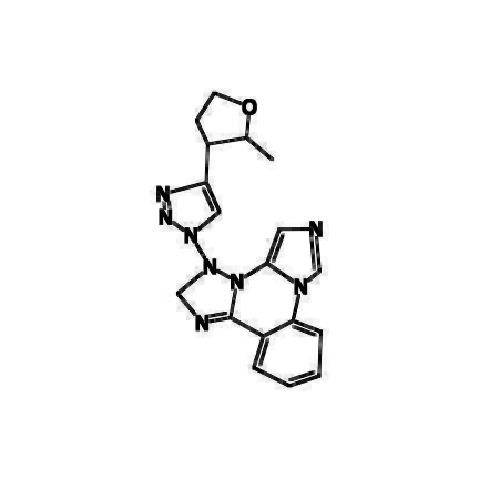 CC1OCCC1c1cn(N2CN=C3c4ccccc4-n4cncc4N32)nn1